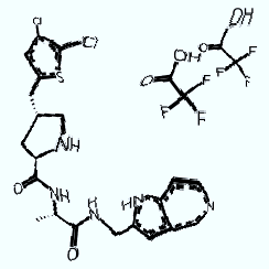 C[C@H](NC(=O)[C@H]1C[C@H](Cc2cc(Cl)c(Cl)s2)CN1)C(=O)NCc1cc2cnccc2[nH]1.O=C(O)C(F)(F)F.O=C(O)C(F)(F)F